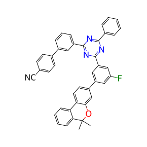 CC1(C)Oc2cc(-c3cc(F)cc(-c4nc(-c5ccccc5)nc(-c5cccc(-c6ccc(C#N)cc6)c5)n4)c3)ccc2-c2ccccc21